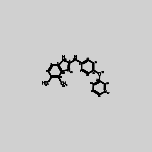 Cc1ccc2[nH]c(Nc3ccc(Oc4cccnc4)cc3)nc2c1C